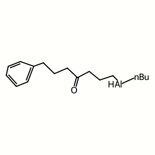 CCC[CH2][AlH][CH2]CCC(=O)CCCc1ccccc1